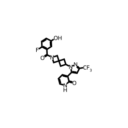 O=C(c1cc(O)ccc1F)N1CC2(CC(n3nc(C(F)(F)F)cc3-c3ccc[nH]c3=O)C2)C1